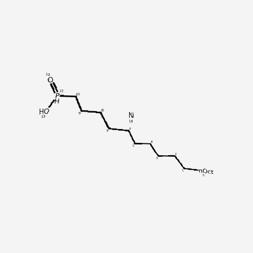 CCCCCCCCCCCCCCCCCC[PH](=O)O.[Ni]